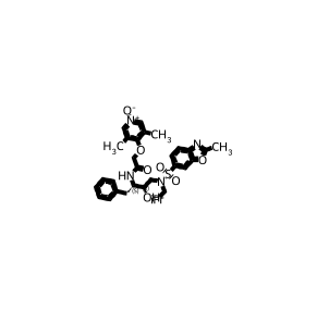 Cc1nc2ccc(S(=O)(=O)N(CC(C)C)C[C@@H](O)[C@H](Cc3ccccc3)NC(=O)COc3c(C)c[n+]([O-])cc3C)cc2o1